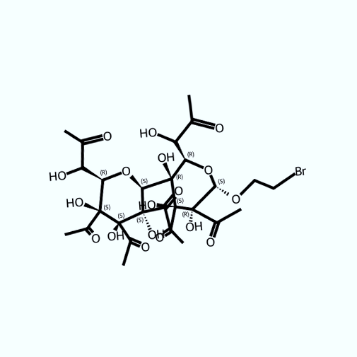 CC(=O)C(O)[C@H]1O[C@H](OCCBr)[C@@](O)(C(C)=O)[C@](O)(C(C)=O)[C@]1(O)[C@@H]1O[C@H](C(O)C(C)=O)[C@@](O)(C(C)=O)[C@@](O)(C(C)=O)[C@]1(O)C(C)=O